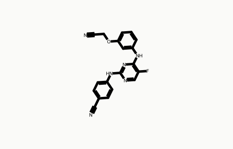 N#CCOc1cccc(Nc2nc(Nc3ccc(C#N)cc3)ncc2F)c1